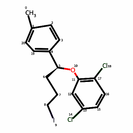 Cc1ccc([C@H](CCCI)Oc2cc(Cl)ccc2Cl)cc1